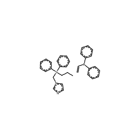 C=CB(c1ccccc1)c1ccccc1.CCC[Si](Cn1ccnc1)(c1ccccc1)c1ccccc1